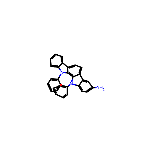 Nc1ccc2c(c1)c1ccc3c4ccccc4n(-c4ccccc4)c3c1n2-c1ccccc1